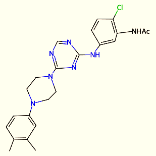 CC(=O)Nc1cc(Nc2ncnc(N3CCN(c4ccc(C)c(C)c4)CC3)n2)ccc1Cl